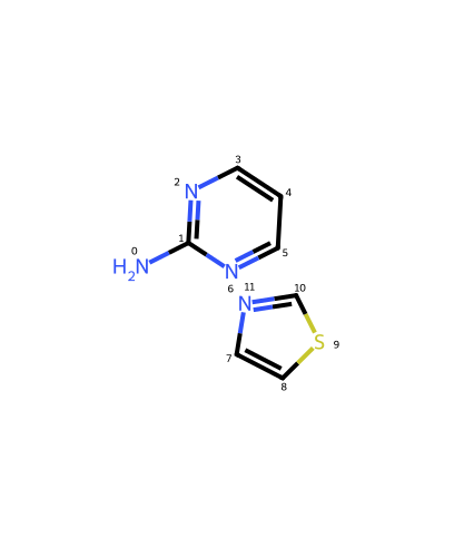 Nc1ncccn1.c1cscn1